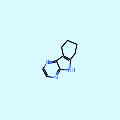 c1cnc2c3c([nH]c2n1)CCCC3